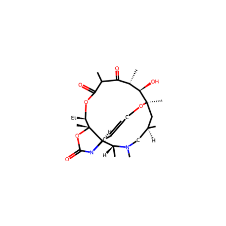 CC[C@H]1OC(=O)C(C)C(=O)[C@H](C)[C@@H](O)[C@@]2(C)C[C@@H](C)CN(C)[C@H](C)[C@H]3N(C/C=C/CO2)C(=O)O[C@]13C